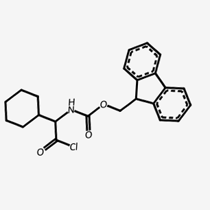 O=C(NC(C(=O)Cl)C1CCCCC1)OCC1c2ccccc2-c2ccccc21